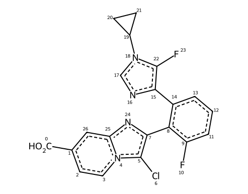 O=C(O)c1ccn2c(Cl)c(-c3c(F)cccc3-c3ncn(C4CC4)c3F)nc2c1